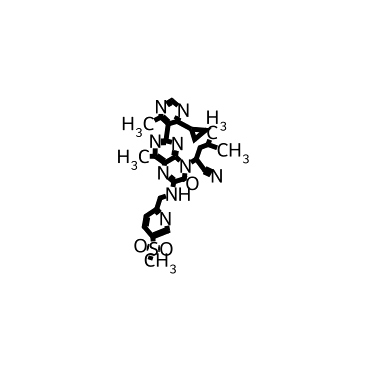 Cc1ncnc(C2CC2)c1-c1nc(C)c2nc(NCc3ccc(S(C)(=O)=O)cn3)c(=O)n(C(C#N)CC(C)C)c2n1